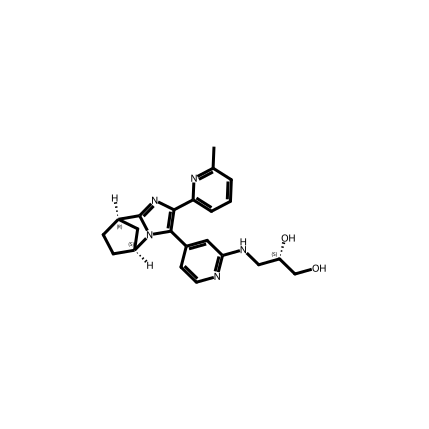 Cc1cccc(-c2nc3n(c2-c2ccnc(NC[C@H](O)CO)c2)[C@H]2CC[C@@H]3C2)n1